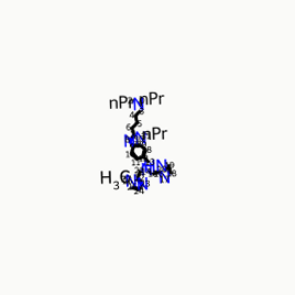 CCCN(CCC)CCCCc1nc2ccc(CN(Cc3ncc[nH]3)Cc3nccn3C)cc2n1CCC